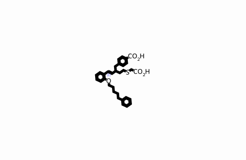 O=C(O)CSCCC(/C=C/c1ccccc1OCCCCCc1ccccc1)Cc1ccc(C(=O)O)cc1